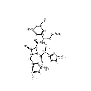 CCC[C@@H](NC(=O)N1C(=O)[C@H](Cc2cc(C)nc(N)c2)[C@H]1C(=O)N(C)c1cnn(C)c1)c1cc(C)cc(F)c1